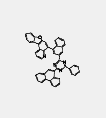 c1ccc(-c2nc(-c3cc(-c4cc5oc6ccccc6c5c5cccnc45)c4ccccc4c3)nc(-c3cc4ccccc4c4ccccc34)n2)cc1